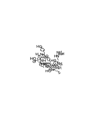 CSCC[C@H](NC(=O)[C@H](CO)NC(=O)[C@H](Cc1ccccc1)NC(=O)[C@@H](NC(=O)[C@H](CCC(=O)O)NC(=O)[C@H](CC(C)C)NC(=O)[C@@H](N)Cc1ccc(O)cc1)C(C)C)C(=O)N[C@@H](CC(C)C)C(=O)N[C@@H](CCCNC(=N)N)C(=O)O